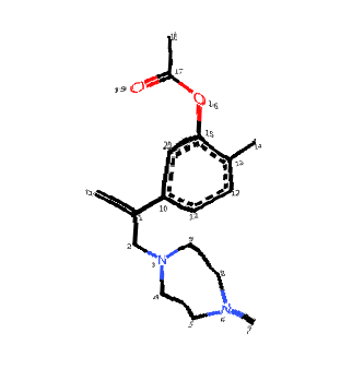 C=C(CN1CCN(C)CC1)c1ccc(C)c(OC(C)=O)c1